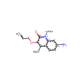 C=CCOc1c(OC)c2ccc(N)cc2n(CCCCCC)c1=O